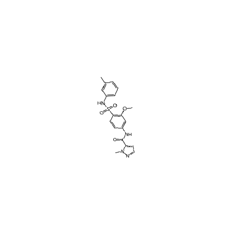 COc1cc(NC(=O)c2ccnn2C)ccc1S(=O)(=O)Nc1cccc(C)c1